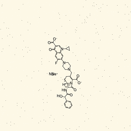 O=C([O-])C1=C(CN2CCN(c3cc4c(cc3F)c(=O)c(C(=O)[O-])cn4C3CC3)CC2)CS[C@H]2[C@@H](NC(=O)C(O)c3ccccc3)C(=O)N12.[Na+].[Na+]